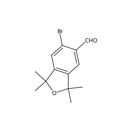 CC1(C)OC(C)(C)c2cc(C=O)c(Br)cc21